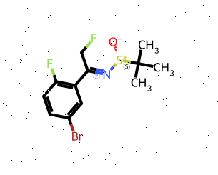 CC(C)(C)[S@@+]([O-])/N=C(\CF)c1cc(Br)ccc1F